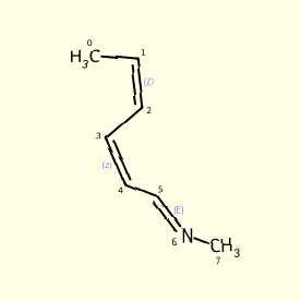 C\C=C/C=C\C=N\C